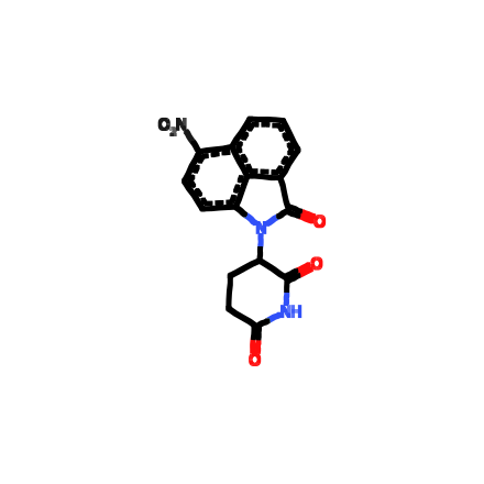 O=C1CCC(N2C(=O)c3cccc4c([N+](=O)[O-])ccc2c34)C(=O)N1